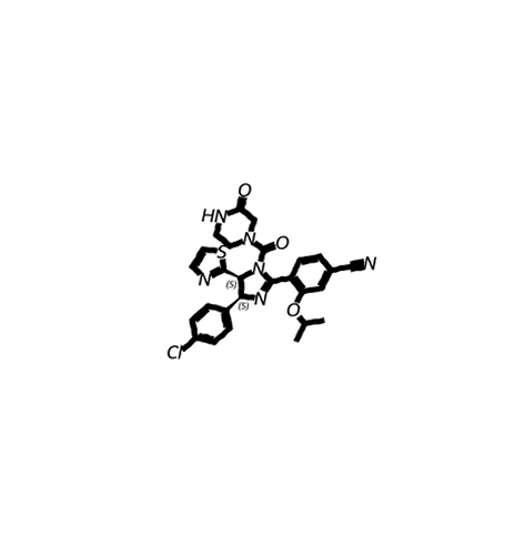 CC(C)Oc1cc(C#N)ccc1C1=N[C@@H](c2ccc(Cl)cc2)[C@@H](c2nccs2)N1C(=O)N1CCNC(=O)C1